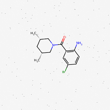 C[C@@H]1C[C@H](C)CN(C(=O)c2cc(Br)ccc2N)C1